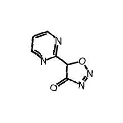 O=C1N=NOC1c1ncccn1